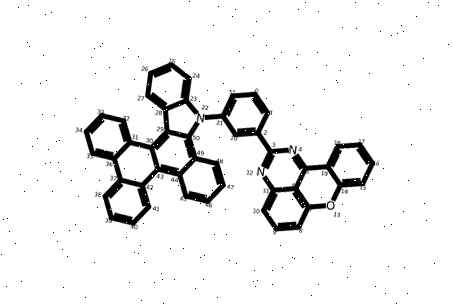 c1cc(-c2nc3c4c(cccc4n2)Oc2ccccc2-3)cc(-n2c3ccccc3c3c4c5ccccc5c5ccccc5c4c4ccccc4c32)c1